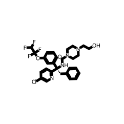 O=C(N[C@](Cc1ccccc1)(c1cccc(OC(F)(F)C(F)F)c1)c1ccc(Cl)cn1)N1CCN(CCO)CC1